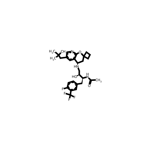 CC(=O)N[C@@H](Cc1ccc(F)c(C(F)(F)F)c1)[C@@H](O)CN[C@H]1CC2(CCC2)Oc2ncc(CC(C)(C)C)cc21